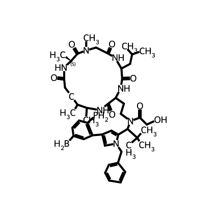 Bc1ccc(P)c(-c2cc(C(N(CCC3NC(=O)C(CC(C)C)NC(=O)CN(C)C(=O)[C@H](C)NC(=O)CCC(C)C(C)NC3=O)C(=O)CO)C(C)(C)C)n(Cc3ccccc3)c2)c1